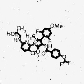 COc1cc(F)c(-c2c(NC(=O)c3ccc(OC(F)F)cc3)c(=O)n(-c3nc(NC[C@@H](C)O)ccc3C(F)(F)F)n2C)c(F)c1